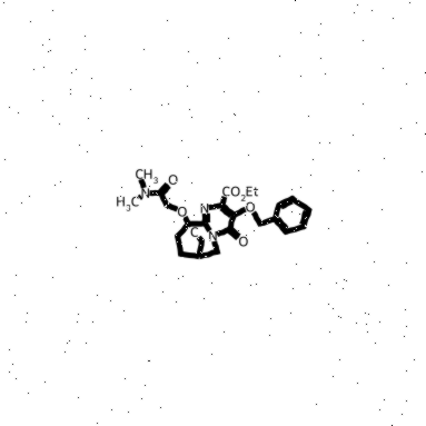 CCOC(=O)c1nc2n(c(=O)c1OCc1ccccc1)CC1CCC2(OCC(=O)N(C)C)CC1